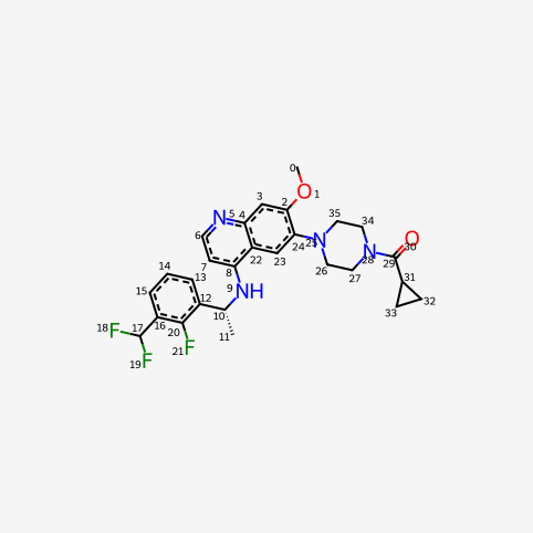 COc1cc2nccc(N[C@H](C)c3cccc(C(F)F)c3F)c2cc1N1CCN(C(=O)C2CC2)CC1